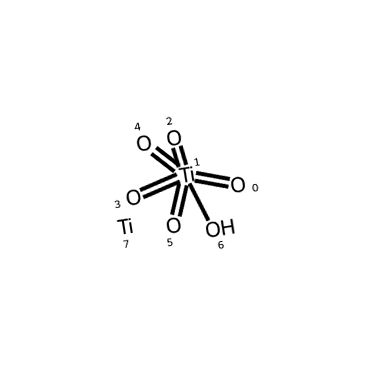 [O]=[Ti](=[O])(=[O])(=[O])(=[O])[OH].[Ti]